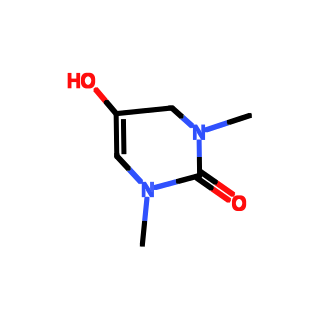 CN1C=C(O)CN(C)C1=O